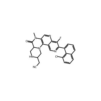 CN1C(=O)C2CNC(CC#N)CN2c2c1cnc1c(F)c(-c3cccc4cccc(Cl)c34)ncc21